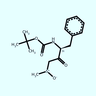 C[S+]([O-])CC(=O)[C@H](Cc1ccccc1)NC(=O)OC(C)(C)C